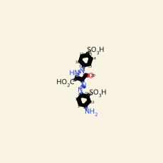 Nc1ccc(N=Nc2c(C(=O)O)[nH]n(-c3ccc(S(=O)(=O)O)cc3)c2=O)c(S(=O)(=O)O)c1